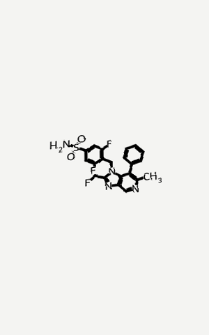 Cc1ncc2nc(CF)n(Cc3c(F)cc(S(N)(=O)=O)cc3F)c2c1-c1ccccc1